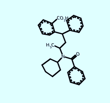 CC(CC(c1ccccc1)c1ccccc1C(=O)O)N(C(=O)c1ccccc1)C1CCCCC1